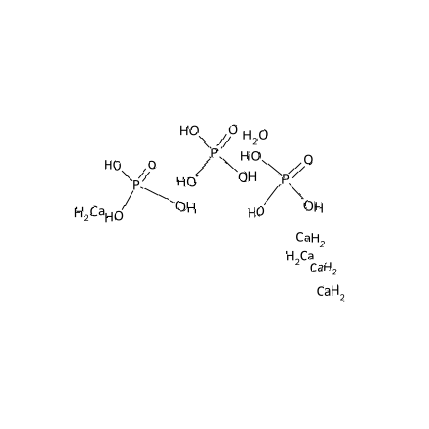 O.O=P(O)(O)O.O=P(O)(O)O.O=P(O)(O)O.[CaH2].[CaH2].[CaH2].[CaH2].[CaH2]